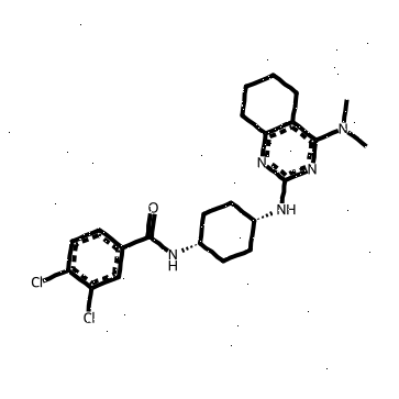 CN(C)c1nc(N[C@H]2CC[C@@H](NC(=O)c3ccc(Cl)c(Cl)c3)CC2)nc2c1CCCC2